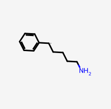 NCCCC[CH]c1ccccc1